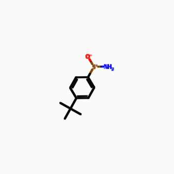 CC(C)(C)c1ccc([S+](N)[O-])cc1